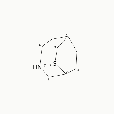 C1CC2CCC(CN1)SC2